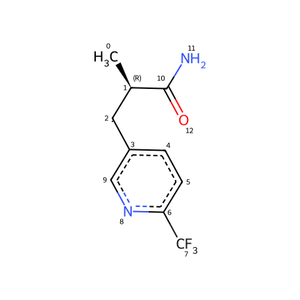 C[C@H]([CH]c1ccc(C(F)(F)F)nc1)C(N)=O